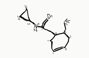 CC(=O)C1CC=CCC1C(=O)NC1CC1